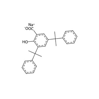 CC(C)(c1ccccc1)c1cc(C(=O)[O-])c(O)c(C(C)(C)c2ccccc2)c1.[Na+]